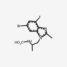 Cc1nc2c(F)cc(Br)cc2n1CC(C)NC(=O)O